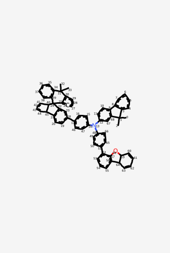 CC1(C)c2ccccc2-c2ccc(N(c3ccc(-c4ccc5c(c4)C4(c6ccccc6C(C)(C)c6ccccc64)C4C=CC=CC54)cc3)c3ccc(-c4cccc5c4OC4C=CC=CC54)cc3)cc21